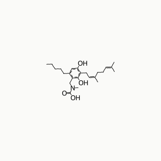 CCCCCc1cc(O)c(CC=C(C)CCC=C(C)C)c(O)c1CN(C)C(=O)O